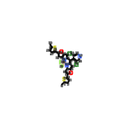 Cc1ccc(-c2cc3c(o2)=CC2=C(c4c(Cl)cncc4Cl)c4cc5oc(-c6ccc(C)s6)cc5n4[B-](F)(F)[N+]=32)s1